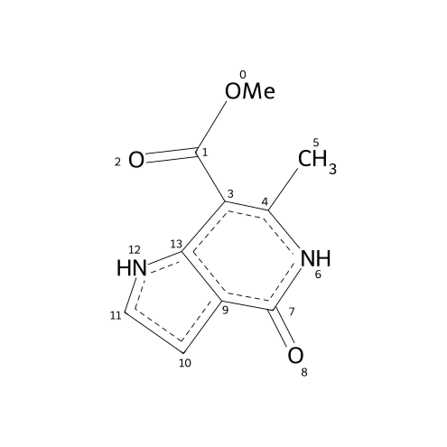 COC(=O)c1c(C)[nH]c(=O)c2cc[nH]c12